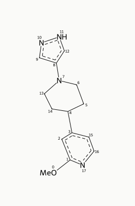 COc1cc(C2CCN(c3cn[nH]c3)CC2)ccn1